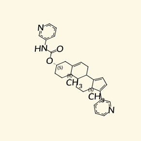 C[C@]12CCC3C(CC=C4C[C@@H](OC(=O)Nc5cccnc5)CC[C@@]43C)C1=CC=C2c1cccnc1